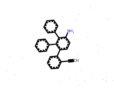 C#Cc1ccccc1-c1ccc(N)c(-c2ccccc2)c1-c1ccccc1